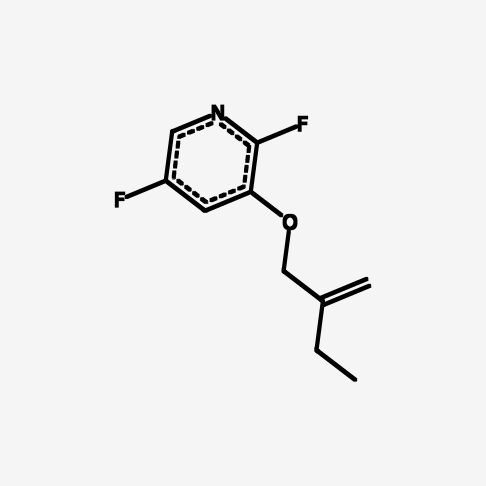 C=C(CC)COc1cc(F)cnc1F